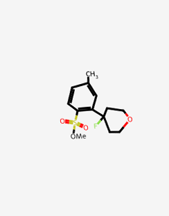 COS(=O)(=O)c1ccc(C)cc1C1(F)CCOCC1